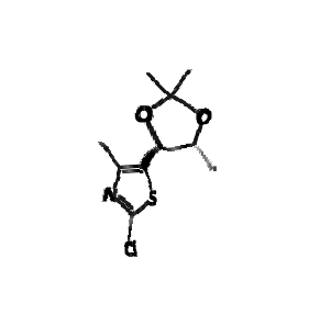 [CH2][C@H]1OC(C)(C)O[C@@H]1c1sc(Cl)nc1C